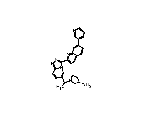 CC(c1ccc2nnc(-c3ccc4ccc(-c5cccnc5)cc4n3)n2c1)N1CC[C@H](N)C1